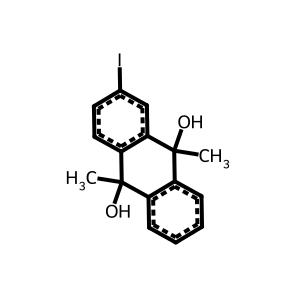 CC1(O)c2ccccc2C(C)(O)c2cc(I)ccc21